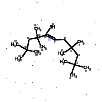 CC(C)(C)CC(C)(C)C/C=C(\S)C(C)(C)CC(C)(C)C